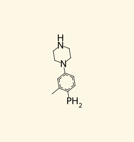 Cc1cc(N2CCNCC2)ccc1P